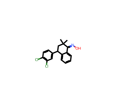 CC1(C)CC(c2ccc(Cl)c(Cl)c2)c2ccccc2C1=NO